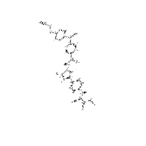 C#CCOc1ccc(C(=O)c2ccc(C(=O)Nc3cc(-c4ccc(NC(=O)C(=C)C=C)cc4)nn3C)cc2)cc1